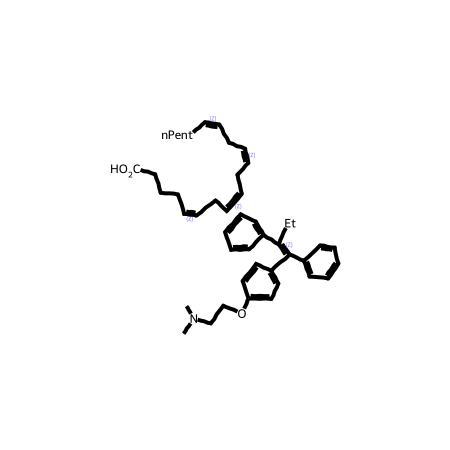 CC/C(=C(\c1ccccc1)c1ccc(OCCN(C)C)cc1)c1ccccc1.CCCCC/C=C\C/C=C\C/C=C\C/C=C\CCCC(=O)O